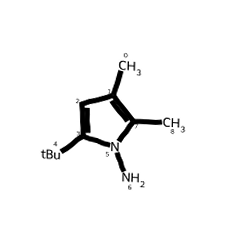 Cc1cc(C(C)(C)C)n(N)c1C